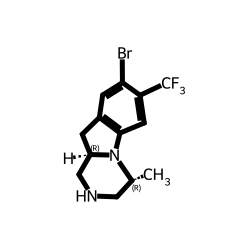 C[C@@H]1CNC[C@H]2Cc3cc(Br)c(C(F)(F)F)cc3N21